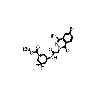 CC(C)c1nn(CC(=O)NC2CN(C(=O)OC(C)(C)C)CC(F)(F)C2)c(=O)c2ccc(Br)cc12